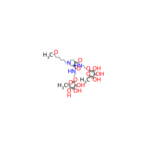 CC(=O)CCCCCN1CC[C@@H](C(=O)NCCO[C@@H]2O[C@@H](C)[C@@H](O)[C@@H](O)[C@@H]2O)[C@@H](C(=O)NCCO[C@@H]2O[C@@H](C)[C@@H](O)[C@@H](O)[C@@H]2O)C1